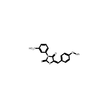 CCCOc1ccc(C=C2SC(=S)N(c3cccc(C(=O)O)c3)C2=O)cc1